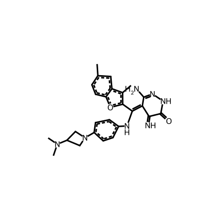 Cc1ccc2oc(/C(Nc3ccc(N4CC(N(C)C)C4)cc3)=C3/C(=N)C(=O)NN=C3N)c(C)c2c1